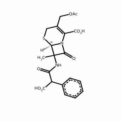 CC(=O)OCC1=C(C(=O)O)N2C(=O)C(C)(NC(=O)C(C(=O)O)c3ccccc3)[C@H]2SC1